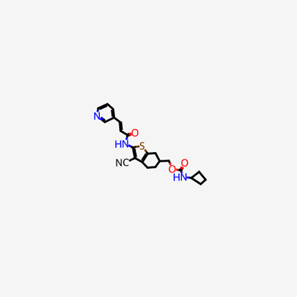 N#Cc1c(NC(=O)/C=C/c2cccnc2)sc2c1CCC(COC(=O)NC1CCC1)C2